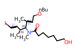 CCCCOC/C=C(\C)[C@H]([C@@H](C)/C=C/I)N(C)C(=O)CCCCCCO